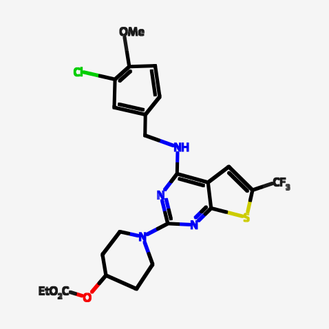 CCOC(=O)OC1CCN(c2nc(NCc3ccc(OC)c(Cl)c3)c3cc(C(F)(F)F)sc3n2)CC1